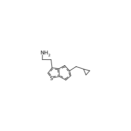 NCCc1csc2ccc(CC3CC3)cc12